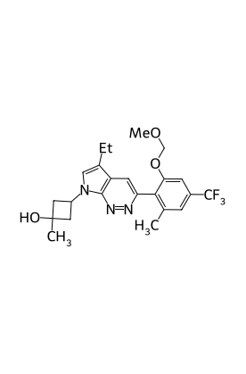 CCc1cn(C2CC(C)(O)C2)c2nnc(-c3c(C)cc(C(F)(F)F)cc3OCOC)cc12